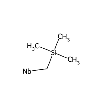 C[Si](C)(C)[CH2][Nb]